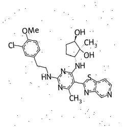 COc1ccc(CCNc2nc(C)c(-c3nc4cnccc4s3)c(N[C@@H]3CC[C@@H](O)[C@@]3(C)O)n2)cc1Cl